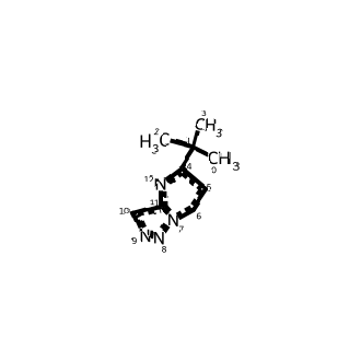 CC(C)(C)c1ccn2nncc2n1